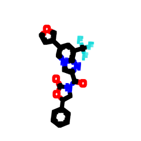 O=C1OC(c2ccccc2)CN1C(=O)c1cn2cc(-c3ccoc3)cc(C(F)(F)F)c2n1